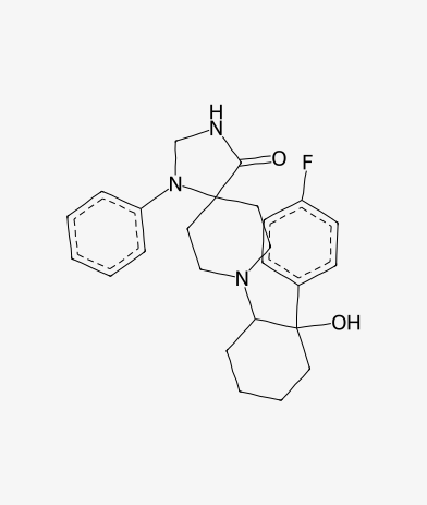 O=C1NCN(c2ccccc2)C12CCN(C1CCCCC1(O)c1ccc(F)cc1)CC2